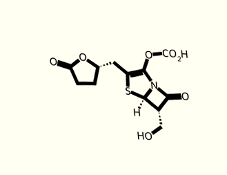 O=C(O)OC1=C(C[C@@H]2CCC(=O)O2)S[C@@H]2[C@@H](CO)C(=O)N12